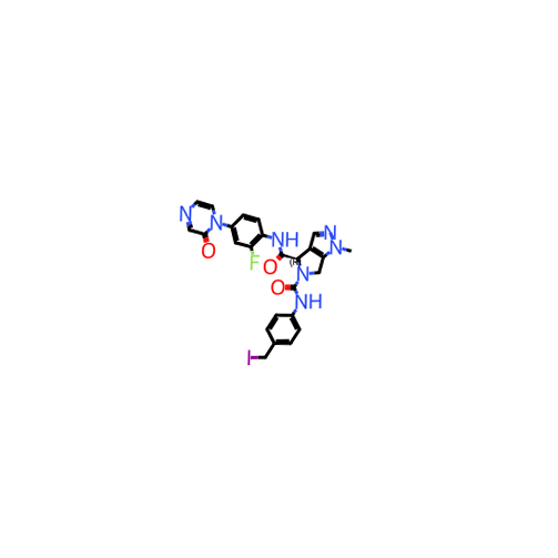 Cn1ncc2c1CN(C(=O)Nc1ccc(CI)cc1)[C@H]2C(=O)Nc1ccc(-n2ccncc2=O)cc1F